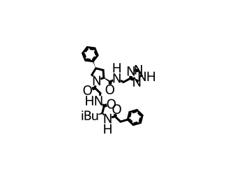 CC[C@H](C)[C@H](NC(=O)Cc1ccccc1)C(=O)NCC(=O)N1C[C@H](c2ccccc2)C[C@H]1C(=O)NCc1nn[nH]n1